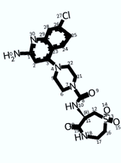 Nc1cc(N2CCN(C(=O)N[C@H]3CS(=O)(=O)CCNC3=O)CC2)c2ccc(Cl)cc2n1